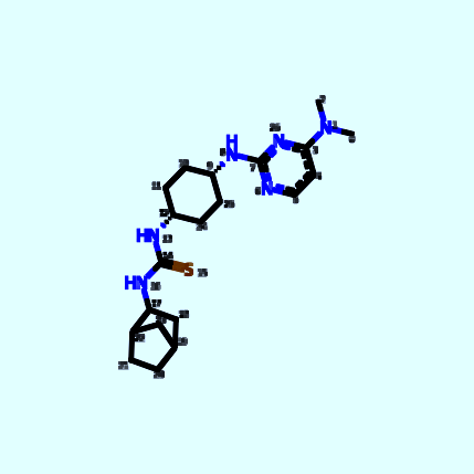 CN(C)c1ccnc(N[C@H]2CC[C@@H](NC(=S)NC3CC4CCC3C4)CC2)n1